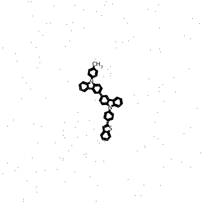 Cc1ccc(-n2c3ccccc3c3cc(-c4ccc5c(c4)c4ccccc4n5-c4ccc(-c5cc6ccccc6s5)cc4)ccc32)cc1